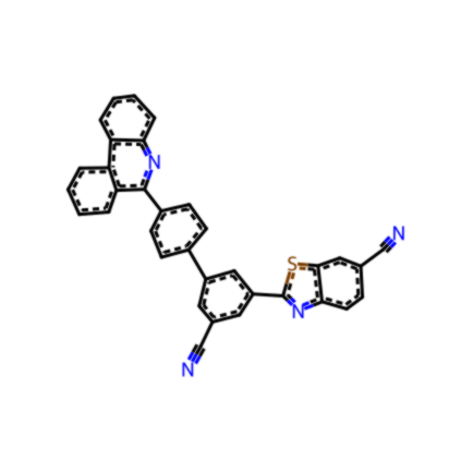 N#Cc1cc(-c2ccc(-c3nc4ccccc4c4ccccc34)cc2)cc(-c2nc3ccc(C#N)cc3s2)c1